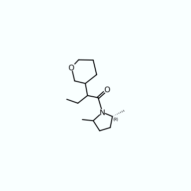 CCC(C(=O)N1C(C)CC[C@H]1C)C1CCCOC1